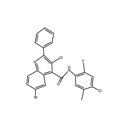 O=C(Nc1[c]c(F)c(Cl)cc1F)c1c(Cl)c(-c2ccccc2)nc2ccc(Br)cc12